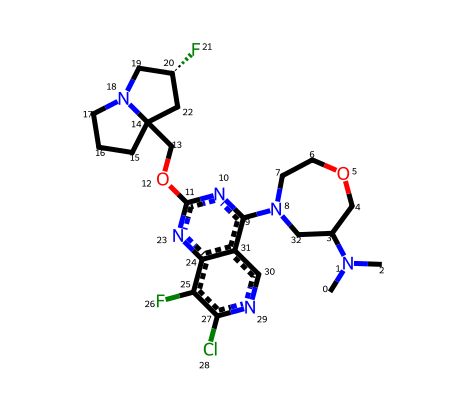 CN(C)C1COCCN(c2nc(OCC34CCCN3C[C@H](F)C4)nc3c(F)c(Cl)ncc23)C1